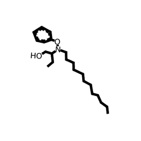 CCCCCCCCCCCCN(Oc1ccccc1)C(CC)CO